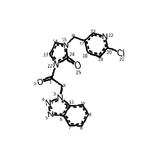 O=C(Cn1nnc2ccccc21)n1ccn(Cc2ccc(Cl)nc2)c1=O